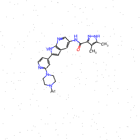 CC(=O)N1CCN(c2cc(-c3cc4cc(NC(=O)c5n[nH]c(C)c5C)cnc4[nH]3)ccn2)CC1